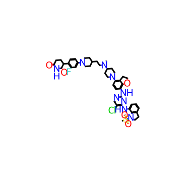 CN(CCC1CCN(c2ccc(C3CCC(=O)NC3=O)c(F)c2)CC1)C1CCN(c2ccc(Nc3ncc(Cl)c(Nc4cccc5c4N(S(C)(=O)=O)CC5)n3)c3c2CCO3)CC1